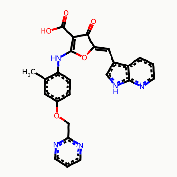 Cc1cc(OCc2ncccn2)ccc1NC1=C(C(=O)O)C(=O)/C(=C/c2c[nH]c3ncccc23)O1